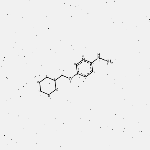 NNc1ccc(OCC2CCCCC2)cn1